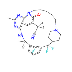 Cc1nc2c3cc(C4(C#N)CC4)c(=O)n(c3n1)CCCCCN1CCC(CC1)C(F)(F)c1cccc(c1F)[C@@H](C)N2